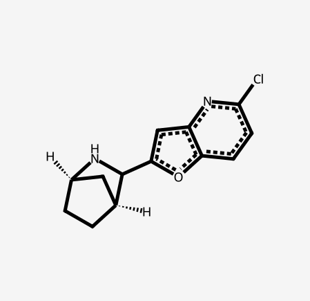 Clc1ccc2oc(C3N[C@@H]4CC[C@H]3C4)cc2n1